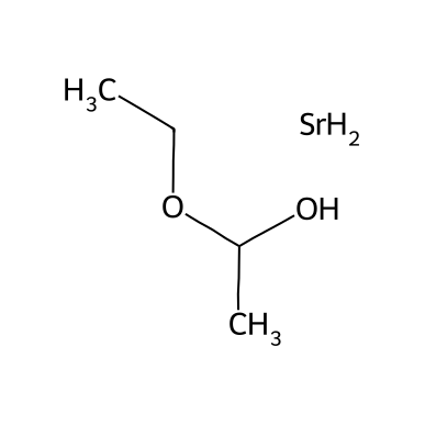 CCOC(C)O.[SrH2]